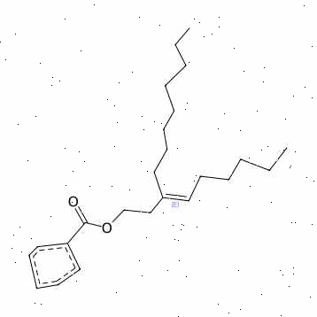 CCCCC/C=C(\CCCCCCCC)CCOC(=O)c1ccccc1